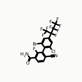 N#Cc1ccc(C(N)=O)c(F)c1-c1c(Cl)cc(C(F)(C(F)(F)F)C(F)(F)C(F)(F)F)cc1Br